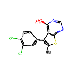 CC(C)(C)c1sc2ncnc(O)c2c1-c1ccc(Cl)c(Cl)c1